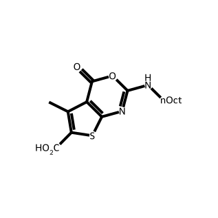 CCCCCCCCNc1nc2sc(C(=O)O)c(C)c2c(=O)o1